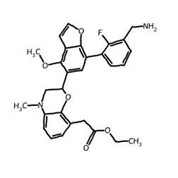 CCOC(=O)Cc1cccc2c1OC(c1cc(-c3cccc(CN)c3F)c3occc3c1OC)CN2C